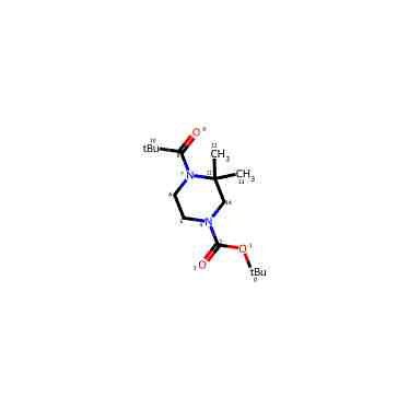 CC(C)(C)OC(=O)N1CCN(C(=O)C(C)(C)C)C(C)(C)C1